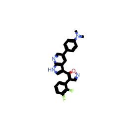 CN(C)c1ccc(-c2cnc3[nH]cc(-c4oncc4-c4cccc(F)c4F)c3c2)cc1